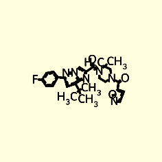 CC(C)(C)c1cc(-c2ccc(F)cc2)nn2cc(C(=O)N3CCN(C(=O)c4ccno4)CC3(C)C)nc12